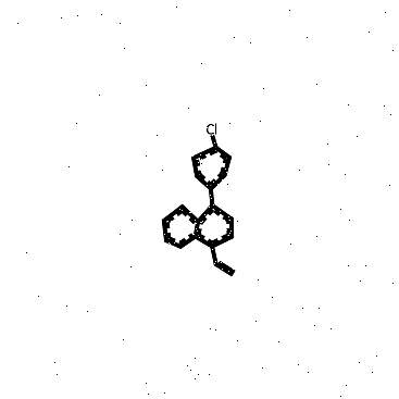 C=Cc1ccc(-c2ccc(Cl)cc2)c2ccccc12